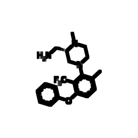 Cc1ccc(Oc2ccccc2)c(C(F)(F)F)c1N1CCN(C)[C@@H](CN)C1